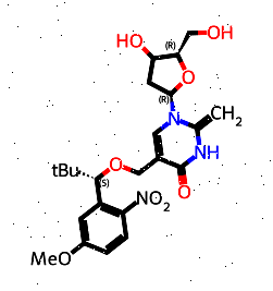 C=C1NC(=O)C(CO[C@H](c2cc(OC)ccc2[N+](=O)[O-])C(C)(C)C)=CN1[C@H]1CC(O)[C@@H](CO)O1